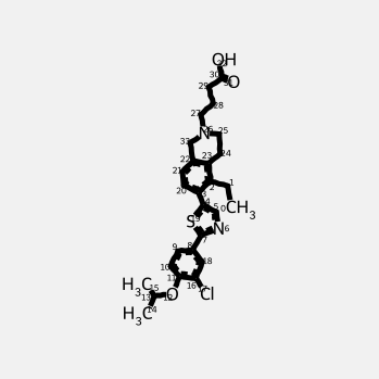 CCc1c(-c2cnc(-c3ccc(OC(C)C)c(Cl)c3)s2)ccc2c1CCN(CCCC(=O)O)C2